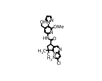 COc1nc(NC(=O)C2CC(C)(C)c3c2cnc2cc(Cl)nn32)cc(CO)c1-n1cccn1